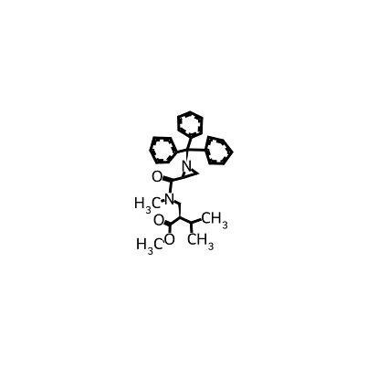 COC(=O)[C@@H](CN(C)C(=O)C1C[N@]1C(c1ccccc1)(c1ccccc1)c1ccccc1)C(C)C